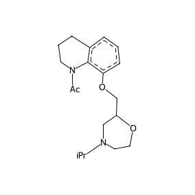 CC(=O)N1CCCc2cccc(OCC3CN(C(C)C)CCO3)c21